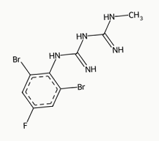 CNC(=N)NC(=N)Nc1c(Br)cc(F)cc1Br